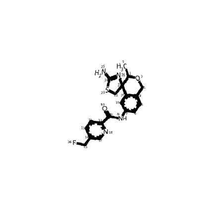 CC1OCc2ccc(NC(=O)c3ccc(CF)cn3)cc2C12CSC(N)=N2